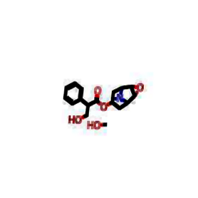 CN1C2CC(OC(=O)C(CO)c3ccccc3)CC1C1OC12.CO